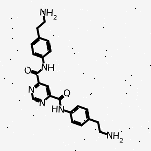 NCCc1ccc(NC(=O)c2cc(C(=O)Nc3ccc(CCN)cc3)ncn2)cc1